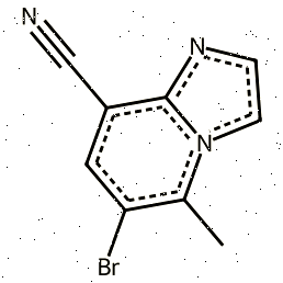 Cc1c(Br)cc(C#N)c2nccn12